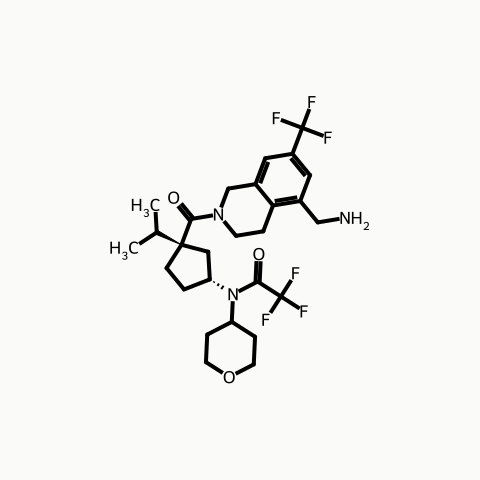 CC(C)[C@]1(C(=O)N2CCc3c(CN)cc(C(F)(F)F)cc3C2)CC[C@@H](N(C(=O)C(F)(F)F)C2CCOCC2)C1